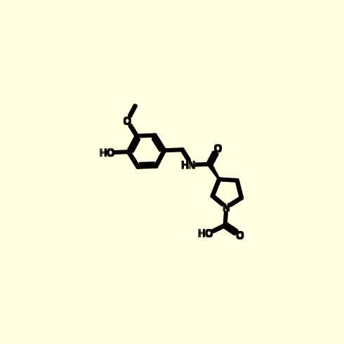 COc1cc(CNC(=O)[C@H]2CCN(C(=O)O)C2)ccc1O